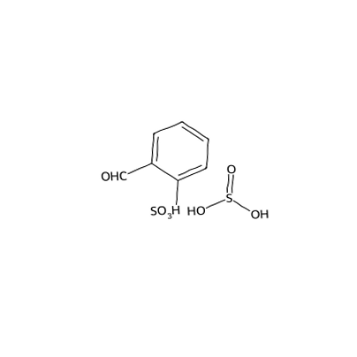 O=Cc1ccccc1S(=O)(=O)O.O=S(O)O